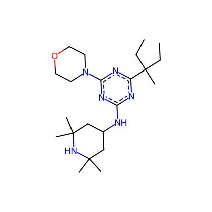 CCC(C)(CC)c1nc(NC2CC(C)(C)NC(C)(C)C2)nc(N2CCOCC2)n1